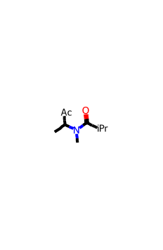 CC(=O)C(C)N(C)C(=O)C(C)C